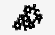 Cc1csc(CN(C)C(=O)c2cccc(C(=O)N[C@@H](Cc3ccccc3)[C@H](O)CN(C)c3cc(C)on3)c2)n1